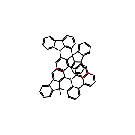 CC1(C)c2ccccc2-c2cccc(N(c3ccccc3-c3ccccc3)c3ccccc3-c3cccc4c3C3(c5ccccc5-c5ccccc53)c3cccc5c6ccccc6n-4c35)c21